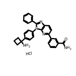 Cl.NC(=O)c1cccc(-c2ccc3nc(-c4ccccc4)n(-c4ccc(C5(N)CCC5)cc4)c3n2)c1